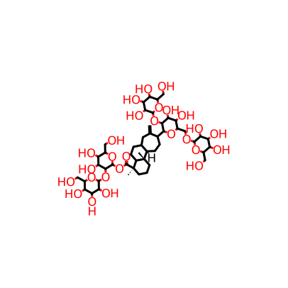 C=C1CC2CCC3[C@](C)(C(=O)OC4OC(CO)C(O)C(O)C4OC4OC(CO)C(O)C(O)C4O)CCC[C@@]3(C)[C@@H]2CCC1C1OC(COC2OC(CO)C(O)C(O)C2O)C(O)C(O)C1OC1OC(CO)C(O)C(O)C1O